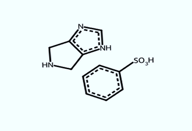 O=S(=O)(O)c1ccccc1.c1nc2c([nH]1)CNC2